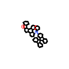 c1ccc(N(c2ccc3c(c2)C2(c4ccccc4-c4ccccc42)c2ccccc2-3)c2cccc3c4ccc5oc6ccccc6c5c4c4ccccc4c23)cc1